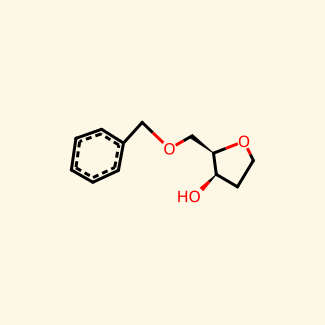 O[C@@H]1CCO[C@@H]1COCc1ccccc1